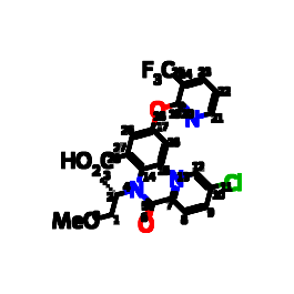 COC[C@H](C)N(C(=O)c1ccc(Cl)cn1)c1ccc(Oc2ncccc2C(F)(F)F)cc1C(=O)O